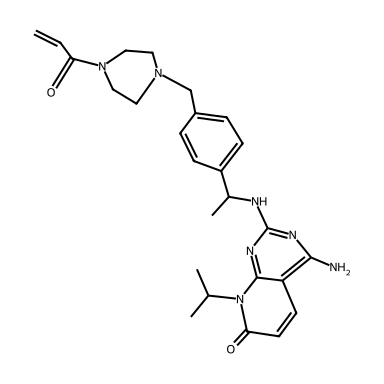 C=CC(=O)N1CCN(Cc2ccc(C(C)Nc3nc(N)c4ccc(=O)n(C(C)C)c4n3)cc2)CC1